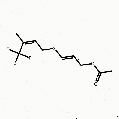 CC(=O)OCC=CSCC=C(C)C(F)(F)F